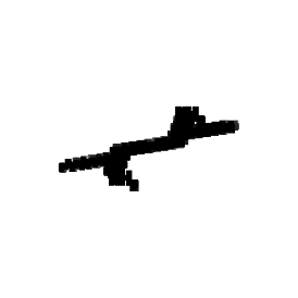 CCCCCCCCCCCCC(c1ccc(CCCCCCCCCCCCc2ccc(C(CCCCCCCCCCCC)c3ccc(N)cc3C)cc2)cc1)c1ccc(N)cc1C